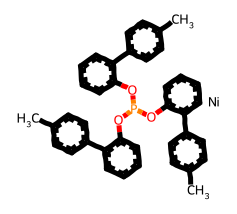 Cc1ccc(-c2ccccc2OP(Oc2ccccc2-c2ccc(C)cc2)Oc2ccccc2-c2ccc(C)cc2)cc1.[Ni]